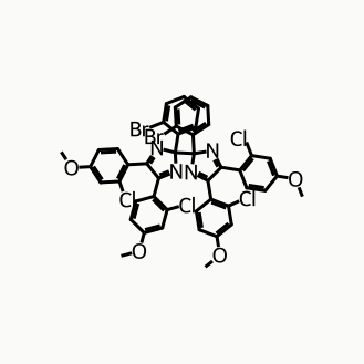 COc1ccc(C2=NC(c3ccccc3Br)(C3(c4ccccc4Br)N=C(c4ccc(OC)cc4Cl)C(c4ccc(OC)cc4Cl)=N3)N=C2c2ccc(OC)cc2Cl)c(Cl)c1